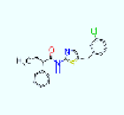 CC[C@@H](C(=O)Nc1ncc(Cc2cccc(Cl)c2)s1)c1ccccc1